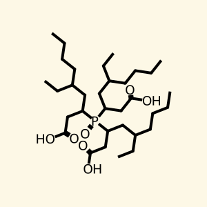 CCCCC(CC)CC(CC(=O)O)P(=O)(C(CC(=O)O)CC(CC)CCCC)C(CC(=O)O)CC(CC)CCCC